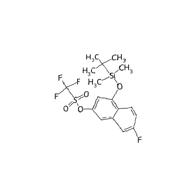 CC(C)(C)[Si](C)(C)Oc1cc(OS(=O)(=O)C(F)(F)F)cc2cc(F)ccc12